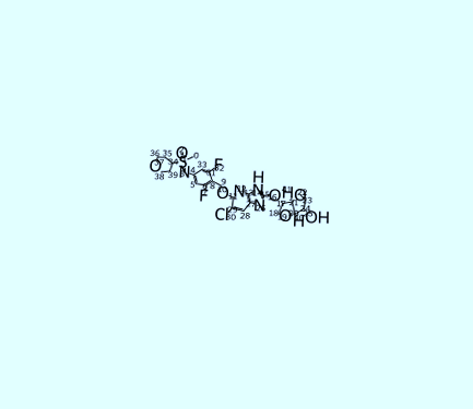 CS(=O)(=Nc1cc(F)c(COc2nc3[nH]c(O[C@@H]4CO[C@H]5[C@@H]4OC[C@H]5O)nc3cc2Cl)c(F)c1)C1CCOCC1